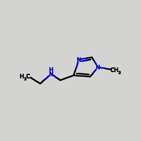 CCNCc1cn(C)cn1